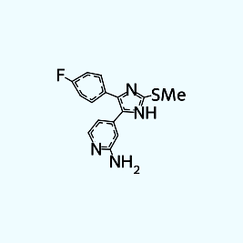 CSc1nc(-c2ccc(F)cc2)c(-c2ccnc(N)c2)[nH]1